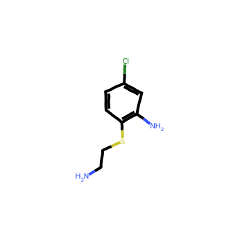 NCCSc1ccc(Cl)cc1N